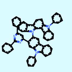 c1ccc(-c2cc(-c3cc4c(cc3-n3c5ccccc5c5ccc6c(c7ccccc7n6-c6ccccc6)c53)c3ccccc3n4-c3ccccc3)nc(-c3ccccc3)n2)cc1